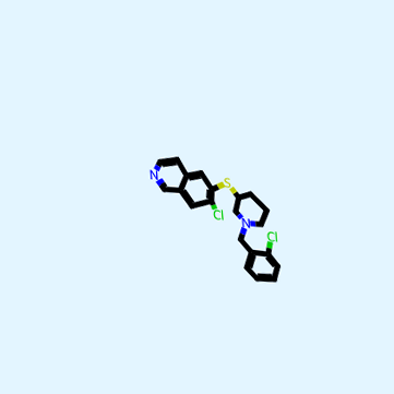 Clc1ccccc1CN1CCCC(Sc2cc3ccncc3cc2Cl)C1